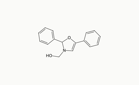 OCN1C=C(c2ccccc2)OC1c1ccccc1